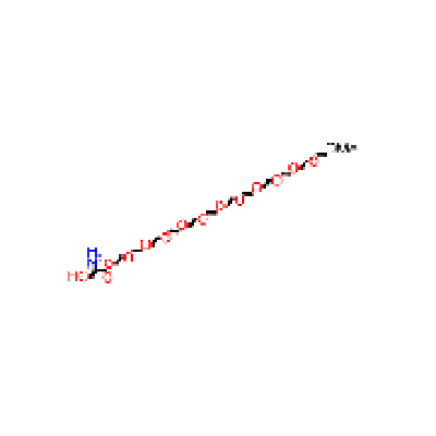 COCCOCCOCCOCCOCCOCCOCCOCCOCCOCCOCCOCCOC(=O)[C@@H](N)CO